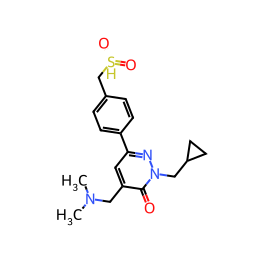 CN(C)Cc1cc(-c2ccc(C[SH](=O)=O)cc2)nn(CC2CC2)c1=O